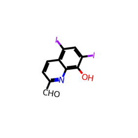 O=Cc1ccc2c(I)cc(I)c(O)c2n1